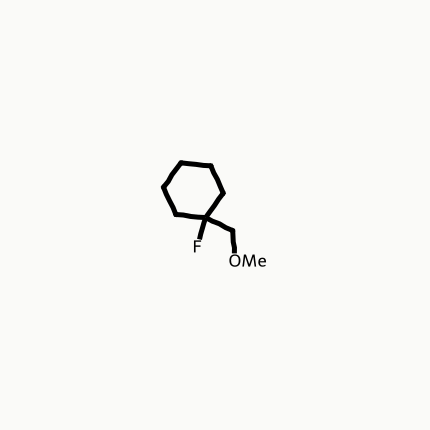 COCC1(F)CCCCC1